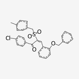 Cc1ccc(CS(=O)(=O)/C(=C/c2ccccc2OCc2ccccc2)C(=O)c2ccc(Cl)cc2)cc1